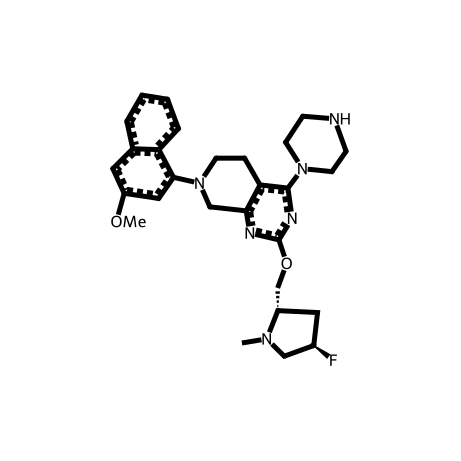 COc1cc(N2CCc3c(nc(OC[C@@H]4C[C@@H](F)CN4C)nc3N3CCNCC3)C2)c2ccccc2c1